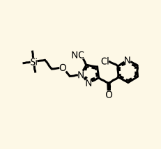 C[Si](C)(C)CCOCn1nc(C(=O)c2cccnc2Cl)cc1C#N